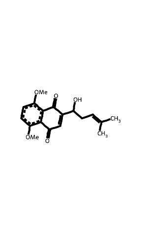 COc1ccc(OC)c2c1C(=O)C=C(C(O)CC=C(C)C)C2=O